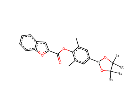 CCC1(CC)OB(c2cc(C)c(OC(=O)c3cc4ccccc4o3)c(C)c2)OC1(CC)CC